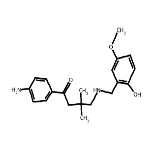 COc1ccc(O)c(CNCC(C)(C)CC(=O)c2ccc(N)cc2)c1